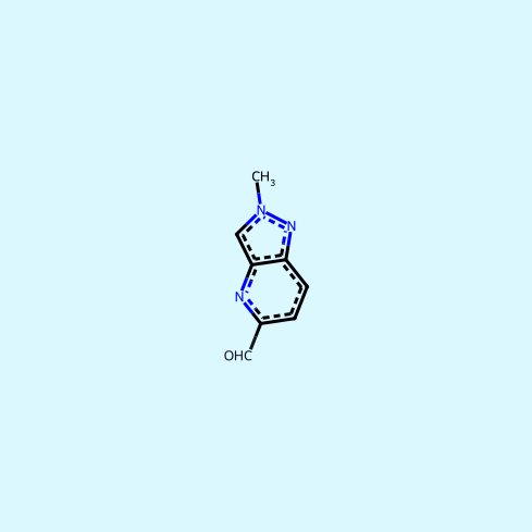 Cn1cc2nc(C=O)ccc2n1